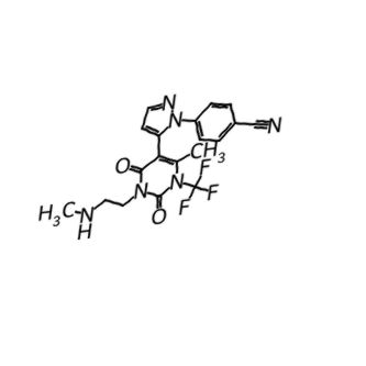 CNCCn1c(=O)c(-c2ccnn2-c2ccc(C#N)cc2)c(C)n(C(F)(F)F)c1=O